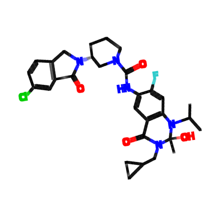 CC(C)N1c2cc(F)c(NC(=O)N3CCC[C@@H](N4Cc5ccc(Cl)cc5C4=O)C3)cc2C(=O)N(CC2CC2)C1(C)O